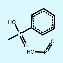 CP(=O)(O)c1ccccc1.O=PO